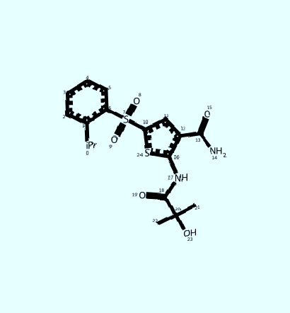 CC(C)c1ccccc1S(=O)(=O)c1cc(C(N)=O)c(NC(=O)C(C)(C)O)s1